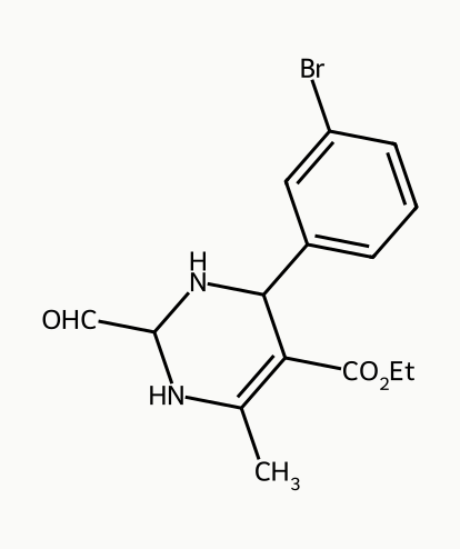 CCOC(=O)C1=C(C)NC(C=O)NC1c1cccc(Br)c1